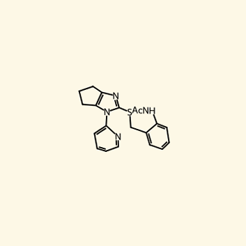 CC(=O)Nc1ccccc1CSc1nc2c(n1-c1ccccn1)CCC2